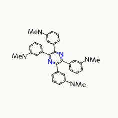 CNc1cccc(-c2nc(-c3cccc(NC)c3)c(-c3cccc(NC)c3)nc2-c2cccc(NC)c2)c1